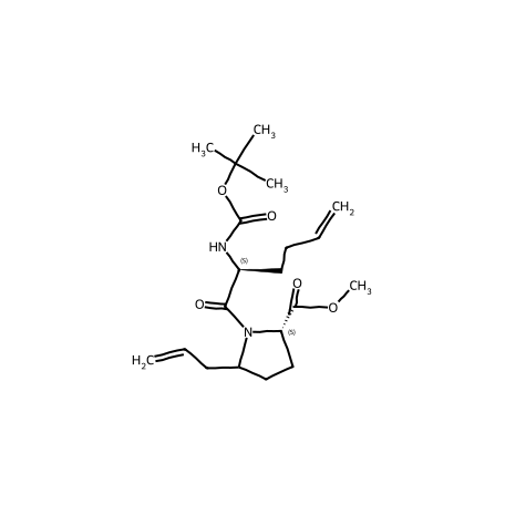 C=CCC[C@H](NC(=O)OC(C)(C)C)C(=O)N1C(CC=C)CC[C@H]1C(=O)OC